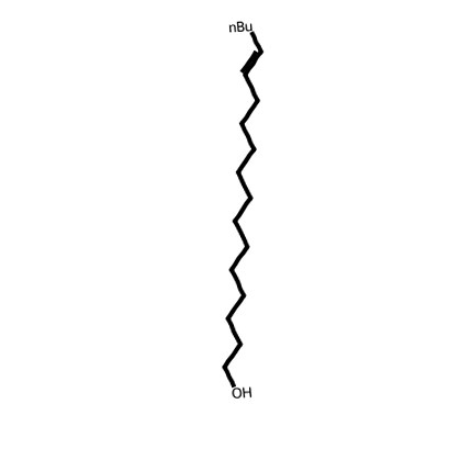 CCCC/C=C/CCCCCCCCCCCCO